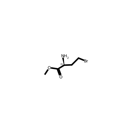 COC(=O)[C@@H](N)CCBr